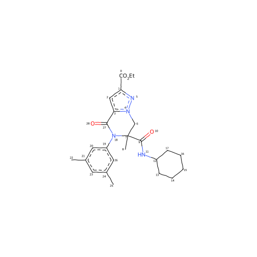 CCOC(=O)c1cc2n(n1)CC(C)(C(=O)NC1CCCCC1)N(c1cc(C)cc(C)c1)C2=O